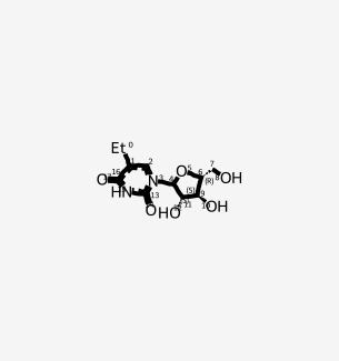 CCc1cn(C2O[C@H](CO)[C@@H](O)[C@@H]2O)c(=O)[nH]c1=O